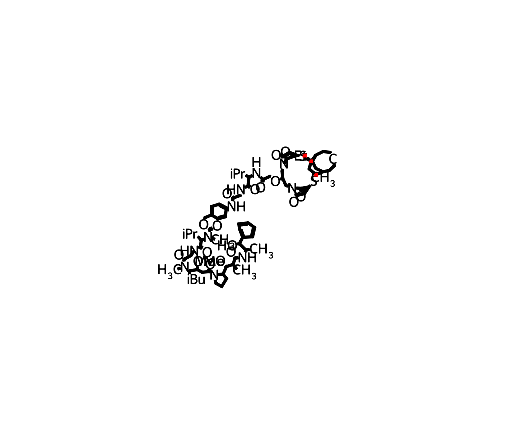 CCC(C)C(C(CC(=O)N1CCCC1C(OC)C(C)C(=O)NC(C)C(O)c1ccccc1)OC)N(C)C(=O)CNC(=O)C(C(C)C)N(C)C(=O)OCc1ccc(NC(=O)CNC(=O)C(NC(=O)COC2CN3C(=O)C=C(SC4(C)CC(CC)(SC5=CC(=O)N(C2)C5=O)C2CCCCCC4CC2)C3=O)C(C)C)cc1